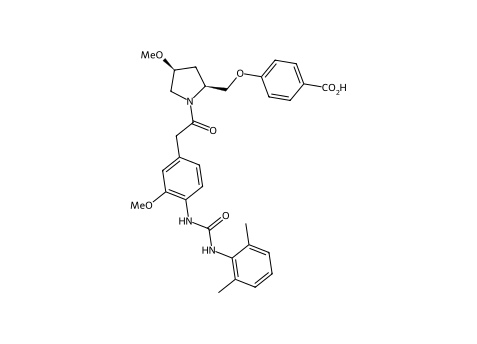 COc1cc(CC(=O)N2C[C@@H](OC)C[C@H]2COc2ccc(C(=O)O)cc2)ccc1NC(=O)Nc1c(C)cccc1C